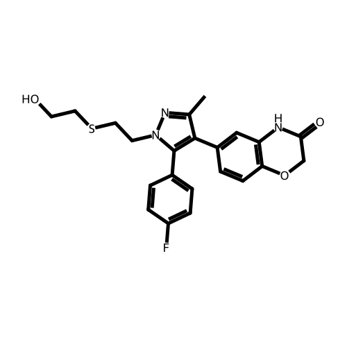 Cc1nn(CCSCCO)c(-c2ccc(F)cc2)c1-c1ccc2c(c1)NC(=O)CO2